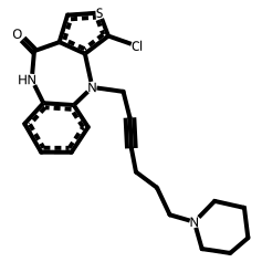 O=C1Nc2ccccc2N(CC#CCCCN2CCCCC2)c2c1csc2Cl